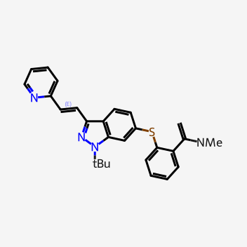 C=C(NC)c1ccccc1Sc1ccc2c(/C=C/c3ccccn3)nn(C(C)(C)C)c2c1